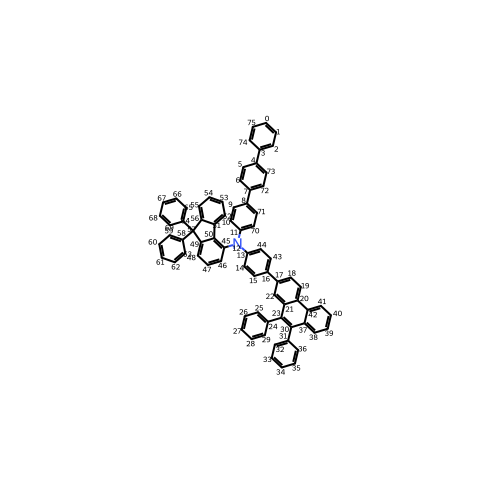 c1ccc(-c2ccc(-c3ccc(N(c4ccc(-c5ccc6c(c5)c(-c5ccccc5)c(-c5ccccc5)c5ccccc56)cc4)c4cccc5c4-c4ccccc4C5(c4ccccc4)c4ccccc4)cc3)cc2)cc1